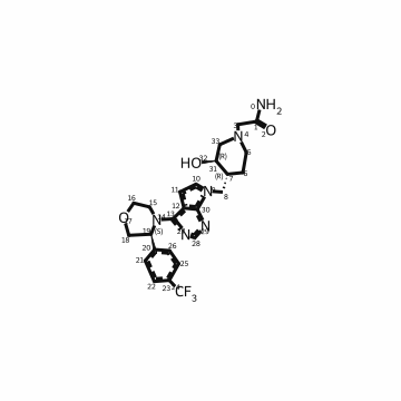 NC(=O)CN1CC[C@H](Cn2ccc3c(N4CCOC[C@@H]4c4ccc(C(F)(F)F)cc4)ncnc32)[C@@H](O)C1